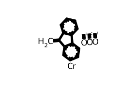 C=C1c2ccccc2-c2ccccc21.[C]=O.[C]=O.[C]=O.[Cr]